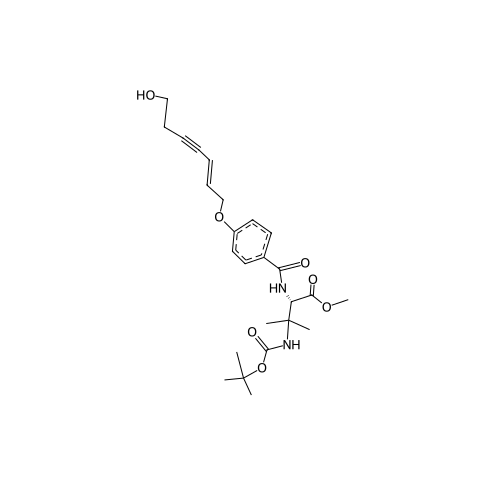 COC(=O)[C@@H](NC(=O)c1ccc(OC/C=C/C#CCCO)cc1)C(C)(C)NC(=O)OC(C)(C)C